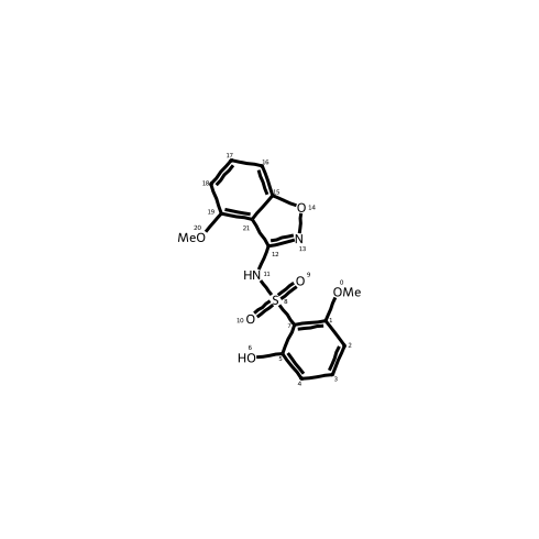 COc1cccc(O)c1S(=O)(=O)Nc1noc2cccc(OC)c12